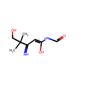 CC(C)(CO)C(=N)/C=C(\O)NC=O